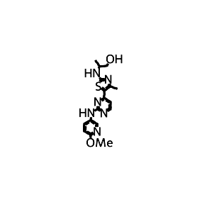 COc1ccc(Nc2nccc(-c3sc(NC(C)CO)nc3C)n2)cn1